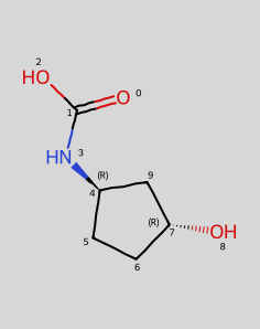 O=C(O)N[C@@H]1CC[C@@H](O)C1